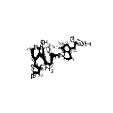 CC(CC(=O)N1CCCC2C(CC(=O)O)CCCC21)c1cn(C)c2nccc(-c3ccc(F)s3)c12